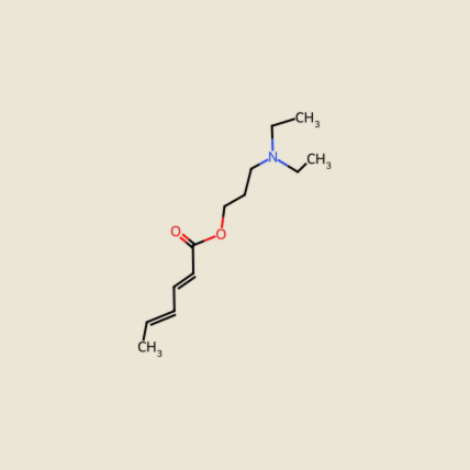 CC=CC=CC(=O)OCCCN(CC)CC